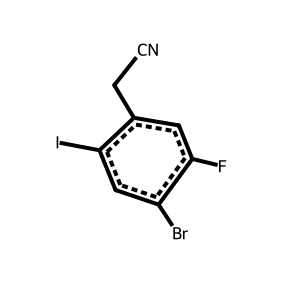 N#CCc1cc(F)c(Br)cc1I